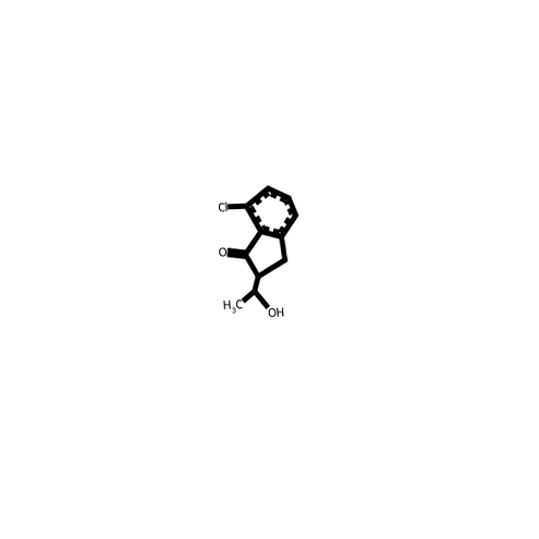 CC(O)C1Cc2cccc(Cl)c2C1=O